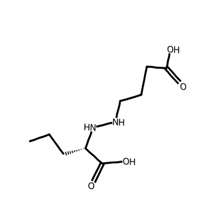 CCC[C@H](NNCCCC(=O)O)C(=O)O